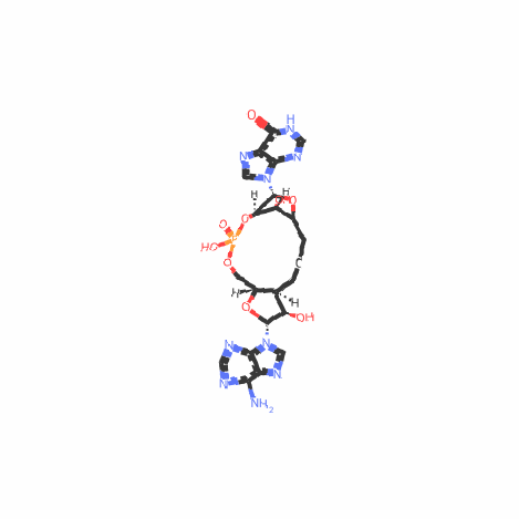 Nc1ncnc2c1ncn2[C@@H]1O[C@@H]2COP(=O)(O)O[C@@H]3[C@H](O)C(CCC[C@H]2[C@H]1O)O[C@H]3n1cnc2c(=O)[nH]cnc21